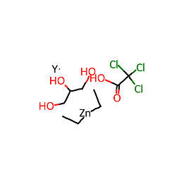 C[CH2][Zn][CH2]C.O=C(O)C(Cl)(Cl)Cl.OCC(O)CO.[Y]